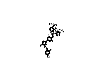 CC1(C)COCC1n1c(Cc2c(F)cc(-c3ccc(F)c(OCc4ccc(Cl)cc4F)n3)cc2F)nc2ccc(C(=O)O)cc21